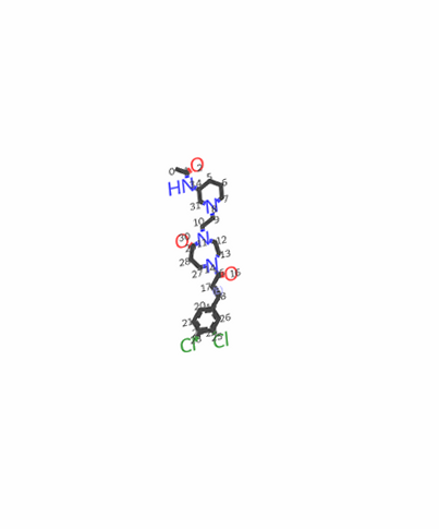 CC(=O)NC1CCCN(CCN2CCN(C(=O)/C=C/c3ccc(Cl)c(Cl)c3)CCC2=O)C1